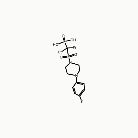 CCC(CC)(P(=O)(O)O)S(=O)(=O)N1CCN(c2ccc(F)cc2)CC1